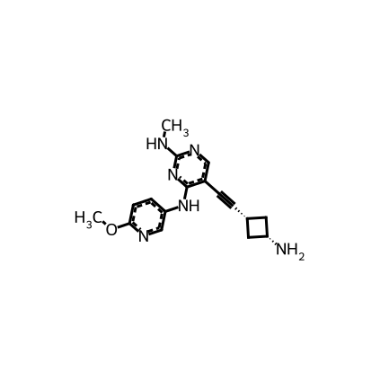 CNc1ncc(C#C[C@H]2C[C@@H](N)C2)c(Nc2ccc(OC)nc2)n1